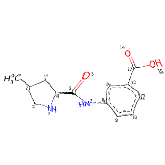 CC1CN[C@H](C(=O)Nc2cccc(C(=O)O)c2)C1